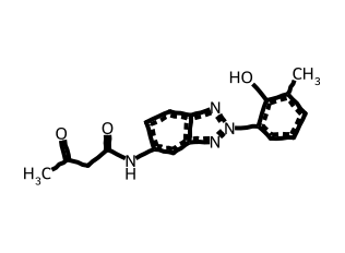 CC(=O)CC(=O)Nc1ccc2nn(-c3cccc(C)c3O)nc2c1